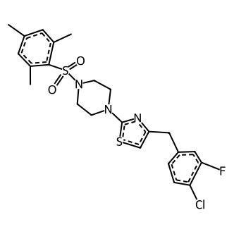 Cc1cc(C)c(S(=O)(=O)N2CCN(c3nc(Cc4ccc(Cl)c(F)c4)cs3)CC2)c(C)c1